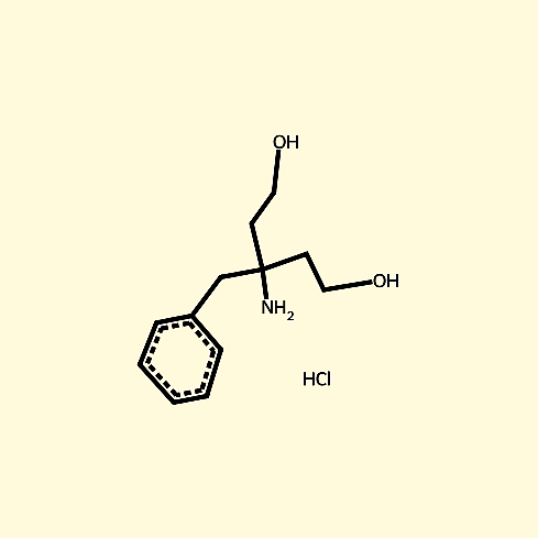 Cl.NC(CCO)(CCO)Cc1ccccc1